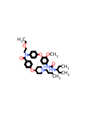 CCCCN1CCC(Oc2ccc(C(=O)N(CCOCC)c3ccc(Oc4ccc(NC(=O)NC(CC)CC)cc4OC)cc3)cc2)CC1